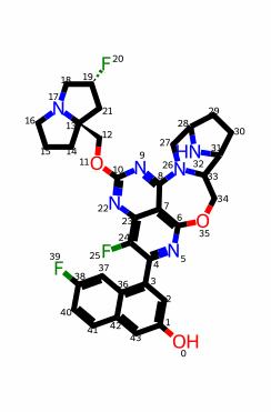 Oc1cc(-c2nc3c4c(nc(OC[C@@]56CCCN5C[C@H](F)C6)nc4c2F)N2CC4CCC(N4)C2CO3)c2cc(F)ccc2c1